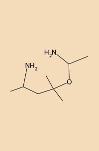 CC(N)CC(C)(C)OC(C)N